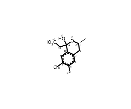 C[C@@H]1Cc2cc(F)c(Cl)cc2C(O)(CC(=O)O)O1